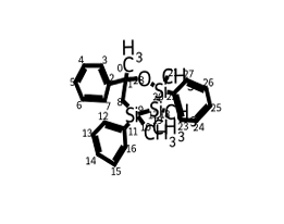 CC1(c2ccccc2)C[Si](C)(c2ccccc2)[Si](C)(C)[Si](C)(c2ccccc2)O1